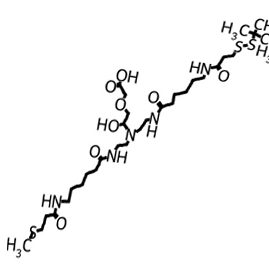 CSCCC(=O)NCCCCCC(=O)NCCN(CCNC(=O)CCCCCNC(=O)CCSSC(C)(C)C)C(O)COCC(=O)O